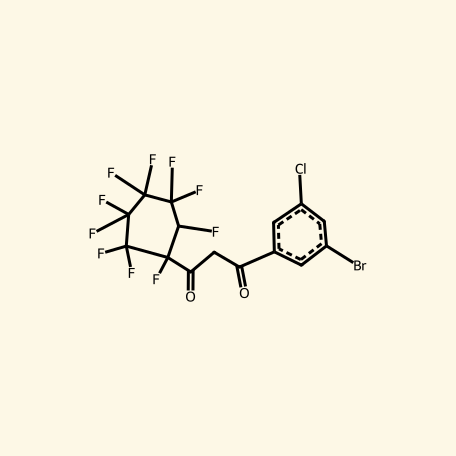 O=C(CC(=O)C1(F)C(F)C(F)(F)C(F)(F)C(F)(F)C1(F)F)c1cc(Cl)cc(Br)c1